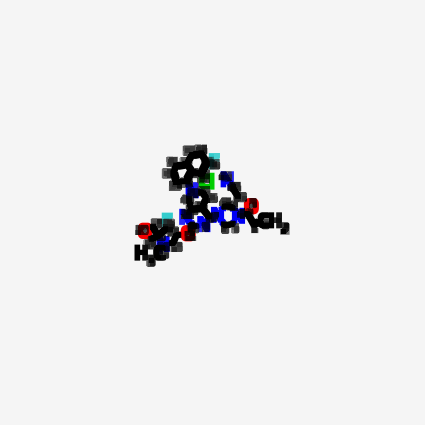 C=CC(=O)N1CCN(c2nc(OCCN(C)C3(CF)COC3)nc3c2CCN(c2cccc4ccc(F)c(Cl)c24)C3)C[C@@H]1CC#N